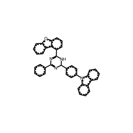 c1ccc(C2=NC(c3ccc(-n4c5ccccc5c5ccccc54)cc3)NC(c3cccc4oc5ccccc5c34)=N2)cc1